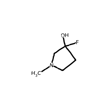 CN1CCC(O)(F)C1